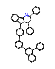 c1ccc(C2=NC3=c4ccccc4=C(c4ccc(-c5cccc(-c6cc(-c7ccccc7)c7ccccc7c6)c5)cc4)C3C(c3ccccc3)C2)cc1